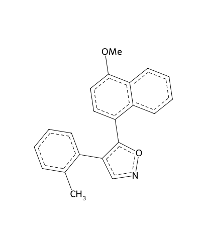 COc1ccc(-c2oncc2-c2ccccc2C)c2ccccc12